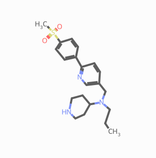 CCCN(Cc1ccc(-c2ccc(S(C)(=O)=O)cc2)nc1)C1CCNCC1